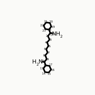 NC(CCCCCCCCC(N)C1CCCCC1)C1CCCCC1